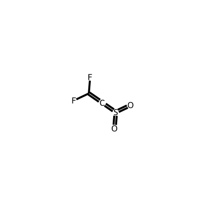 O=S(=O)=C=C(F)F